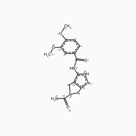 COc1ccc(C(=O)Nc2[nH]nc3c2CN(C(N)=O)C3)cc1OC